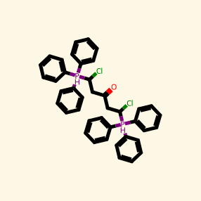 O=C(CC(Cl)[PH](c1ccccc1)(c1ccccc1)c1ccccc1)CC(Cl)[PH](c1ccccc1)(c1ccccc1)c1ccccc1